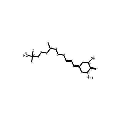 C=C1[C@H](O)CC(=CC=CCCCC(C)CCCC(C)(C)O)C[C@H]1O